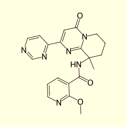 COc1ncccc1C(=O)NC1(C)CCCn2c1nc(-c1ccncn1)cc2=O